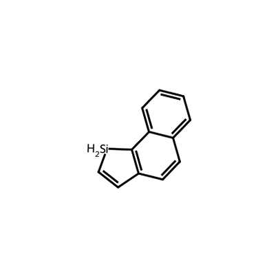 C1=Cc2ccc3ccccc3c2[SiH2]1